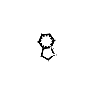 c1cc[n+]2c(c1)CCO2